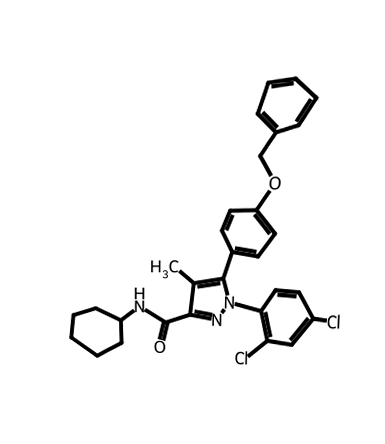 Cc1c(C(=O)NC2CCCCC2)nn(-c2ccc(Cl)cc2Cl)c1-c1ccc(OCc2ccccc2)cc1